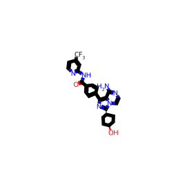 Nc1nccn2c1c(-c1ccc(C(=O)Nc3cc(C(F)(F)F)ccn3)cc1)nc2[C@H]1CC[C@H](O)CC1